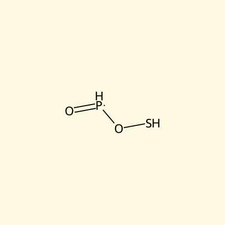 O=[PH]OS